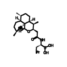 CC(C)C[C@H](NC(=O)C[C@H]1O[C@@H]2O[C@@]3(C)CC[C@H]4[C@H](C)CC[C@@H]([C@H]1C)[C@@]24OO3)B(O)O